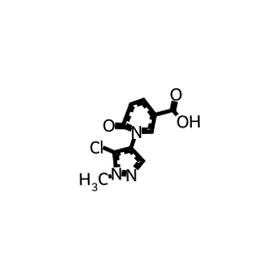 Cn1ncc(-n2cc(C(=O)O)ccc2=O)c1Cl